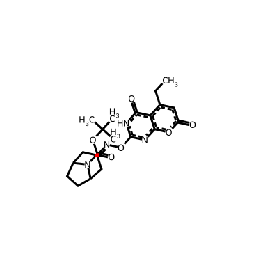 CCc1cc(=O)oc2nc(ON=C3CC4CCC(C3)N4C(=O)OC(C)(C)C)[nH]c(=O)c12